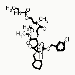 CCNC(=O)OCCN(C)C(=O)CC[C@H](NC(=O)[C@H](CC1CCCCC1)NC(=O)OCc1cccc(Cl)c1)C(=O)N(C)OC